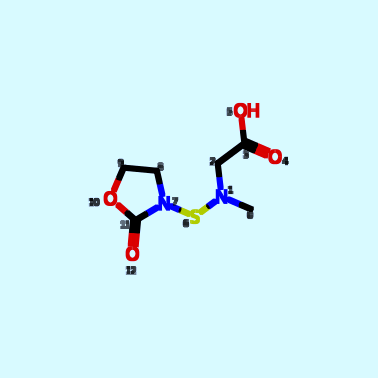 CN(CC(=O)O)SN1CCOC1=O